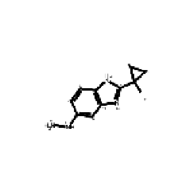 NNc1ccc2[nH]c(C3(F)CC3)nc2c1